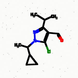 CC(C)c1nn(C(C)C2CC2)c(Cl)c1C=O